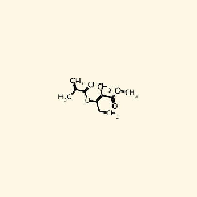 C=C(C)C(=O)OC(CC)=C(C)C(=O)OC